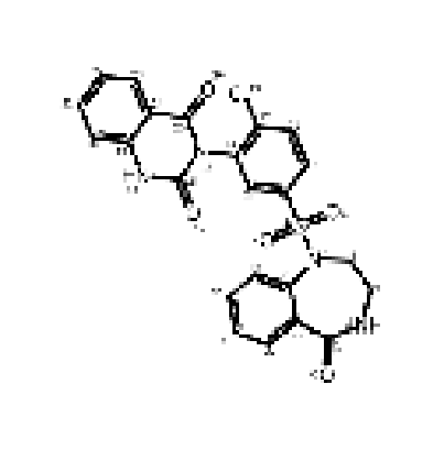 O=C1NCCN(S(=O)(=O)c2ccc(Cl)c(-n3c(=O)[nH]c4ccccc4c3=O)c2)c2ccccc21